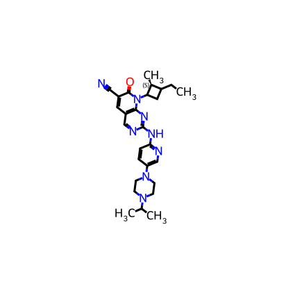 CCC1CC(n2c(=O)c(C#N)cc3cnc(Nc4ccc(N5CCN(C(C)C)CC5)cn4)nc32)[C@H]1C